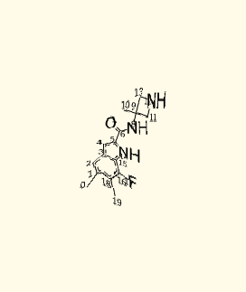 Cc1cc2cc(C(=O)NC3(C)CNC3)[nH]c2c(F)c1C